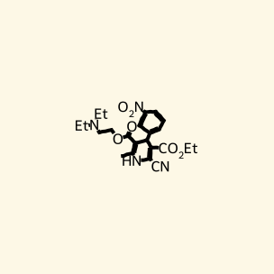 CCOC(=O)C1=C(C#N)NC(C)=C(C(=O)OCCN(CC)CC)C1c1cccc([N+](=O)[O-])c1